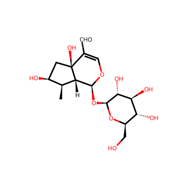 C[C@@H]1[C@H]2[C@H](O[C@@H]3O[C@H](CO)[C@@H](O)[C@H](O)[C@H]3O)OC=C(C=O)[C@@]2(O)C[C@@H]1O